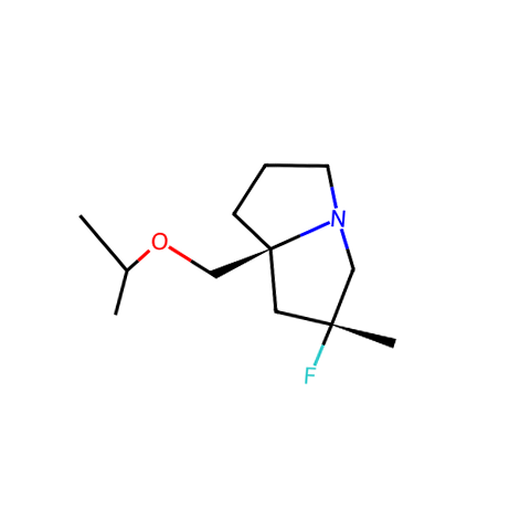 CC(C)OC[C@@]12CCCN1C[C@](C)(F)C2